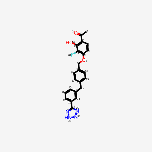 CC(=O)c1ccc(OCc2ccc(Cc3cccc(-c4nn[nH]n4)c3)cc2)c(F)c1O